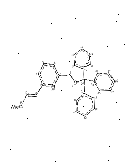 CO/C=C/c1cccc(COC(c2ccccc2)(c2ccccc2)c2ccccc2)n1